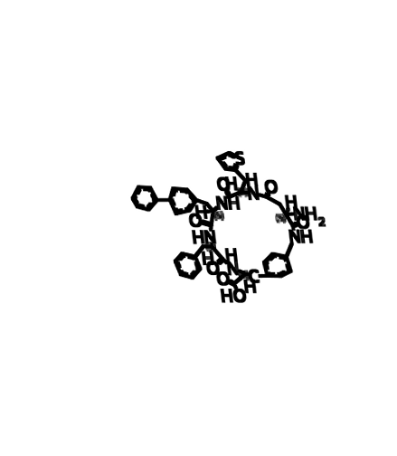 N[C@H]1CC(=O)N[C@H](Cc2cccs2)C(=O)N[C@@H](Cc2ccc(-c3ccccc3)cc2)C(=O)N[C@H](Cc2ccccc2)C(=O)N[C@H](C(=O)O)Cc2ccc(cc2)NC1=O